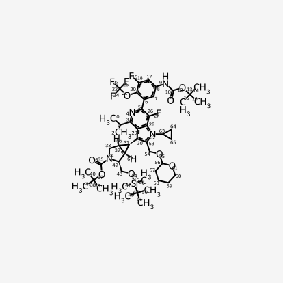 CC(C)c1nc(-c2cc(NC(=O)OC(C)(C)C)cc(F)c2OC(F)(F)F)c(F)c2c1c([C@@H]1[C@H]3CN(C(=O)OC(C)(C)C)[C@H](CO[Si](C)(C)C(C)(C)C)[C@H]31)c(COC1CCCCO1)n2C1CC1